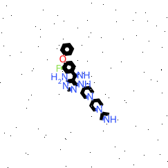 N=C(c1ccc(Oc2ccccc2)c(F)c1)c1c(N)ncnc1NC1CCN(C2CCN(C3CNC3)CC2)CC1